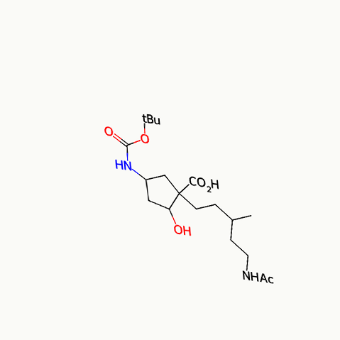 CC(=O)NCCC(C)CCC1(C(=O)O)CC(NC(=O)OC(C)(C)C)CC1O